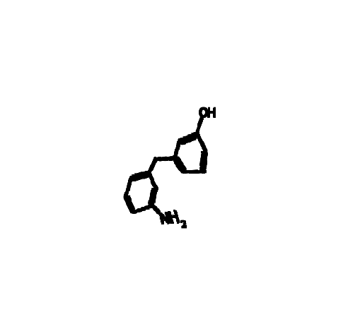 Nc1cccc(Cc2cccc(O)c2)c1